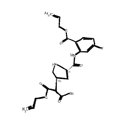 C=CCOC(=O)c1ccc(F)cc1NC(=O)[C@@H]1C[C@@H](C(C(=O)S)C(=O)OCC=C)CN1